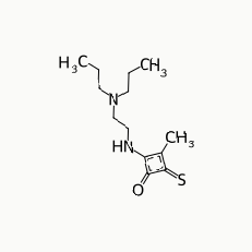 CCCN(CCC)CCNc1c(C)c(=S)c1=O